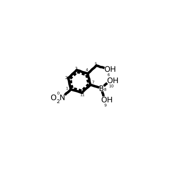 O=[N+]([O-])c1ccc(CO)c(B(O)O)c1